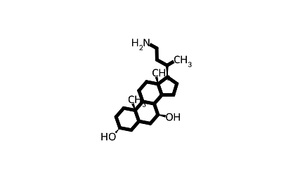 CC(CCN)[C@H]1CCC2C3C(CC[C@@]21C)[C@@]1(C)CC[C@@H](O)CC1C[C@@H]3O